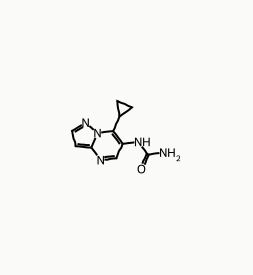 NC(=O)Nc1cnc2ccnn2c1C1CC1